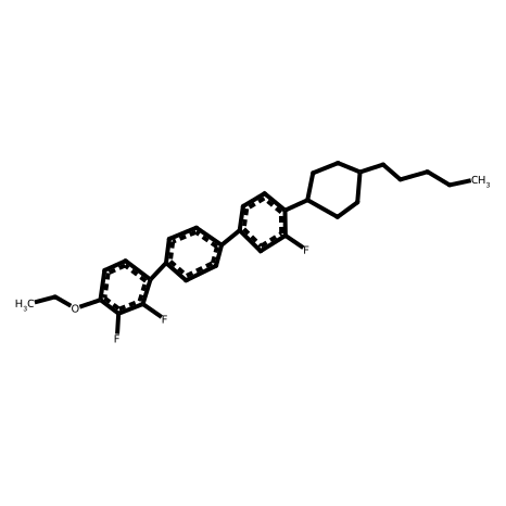 CCCCCC1CCC(c2ccc(-c3ccc(-c4ccc(OCC)c(F)c4F)cc3)cc2F)CC1